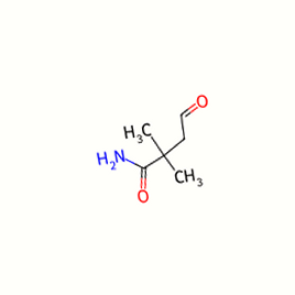 CC(C)(CC=O)C(N)=O